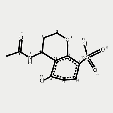 CC(=O)NC1CCOc2c(S(=O)(=O)Cl)ccc(Cl)c21